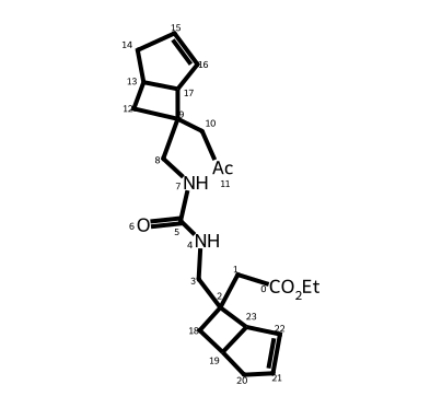 CCOC(=O)CC1(CNC(=O)NCC2(CC(C)=O)CC3CC=CC32)CC2CC=CC21